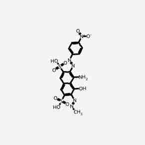 CN=Nc1c(S(=O)(=O)O)cc2cc(S(=O)(=O)O)c(N=Nc3ccc([N+](=O)[O-])cc3)c(N)c2c1O